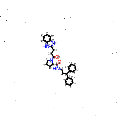 O=C(NCCC(c1ccccc1)c1ccccc1)[C@@H]1CCCN1C(=O)CCC1=[N+]c2ccccc2N1